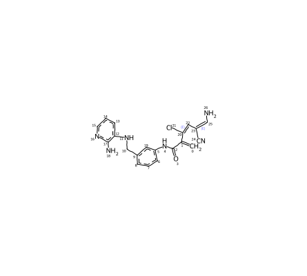 C=C(C(=O)Nc1cccc(CNc2cccnc2N)c1)/C(Cl)=C\C(C#N)=C/N